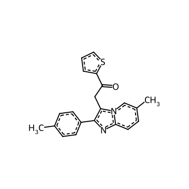 Cc1ccc(-c2nc3ccc(C)cn3c2CC(=O)c2cccs2)cc1